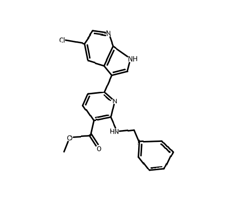 COC(=O)c1ccc(-c2c[nH]c3ncc(Cl)cc23)nc1NCc1ccccc1